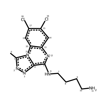 Cc1nnc2c(NCCCCN)nc3cc(Cl)c(Cl)cc3n12